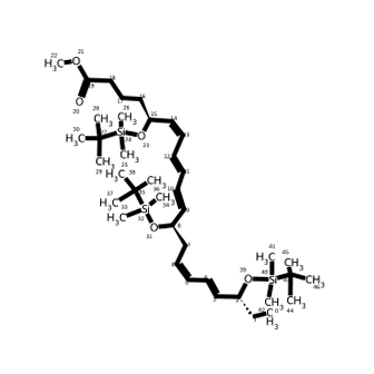 CC[C@H](/C=C/C=C\C[C@H](/C=C/C=C/C=C\[C@H](CCCC(=O)OC)O[Si](C)(C)C(C)(C)C)O[Si](C)(C)C(C)(C)C)O[Si](C)(C)C(C)(C)C